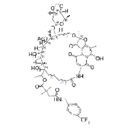 CC(=O)O[C@H]1[C@H](C)[C@H](O)[C@H](C)[C@@H](O)[C@@H](C(C)OC(=O)C(C)(C)CC(=O)NCc2ccc(C(F)(F)F)cc2)/C=C/C=C(/C)C(=O)NC2=CC(=O)c3c(c(O)c(C)c4c3C(=O)[C@@](C)(O/C=C/[C@H](O[C@H]3C[C@@H]5OCO[C@@H]5[C@@H](C)O3)[C@H]1C)O4)C2=O